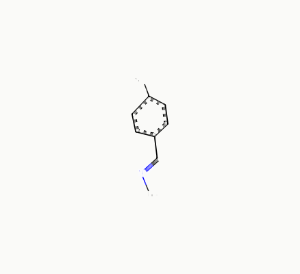 CCCC/N=C/c1ccc(C#N)cc1